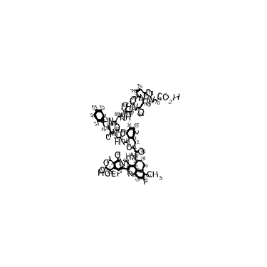 CC[C@@]1(O)C(=O)OCc2c1cc1n(c2=O)Cc2c-1nc1cc(F)c(C)c3c1c2[C@@H](NC(=O)[C@H](Cc1ccccc1)OCNC(=O)CNC(=O)[C@H](Cc1ccccc1)NC(=O)CNC(=O)CNC(=O)[C@@H](CNCC(=O)O)N1C(=O)C=CC1=O)CC3